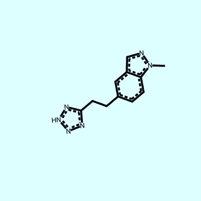 Cn1ncc2cc(CCc3nn[nH]n3)ccc21